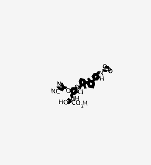 Cc1c(COc2cc(OCc3cncc(C#N)c3)c(CN[C@@](C)(CO)C(=O)O)cc2Cl)cccc1-c1cccc(-c2ccc(CNCCS(C)(=O)=O)cc2)c1C